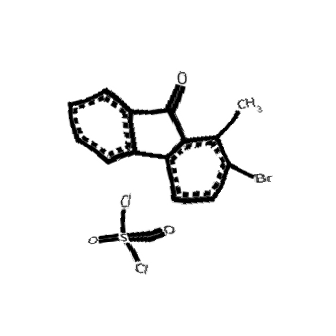 Cc1c(Br)ccc2c1C(=O)c1ccccc1-2.O=S(=O)(Cl)Cl